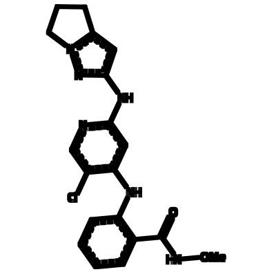 CONC(=O)c1ccccc1Nc1cc(Nc2cc3n(n2)CCC3)ncc1Cl